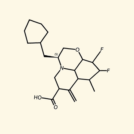 C=C1C(C(=O)O)CN2C3C(OC[C@@H]2CC2CCCCC2)C(F)C(F)C(C)C13